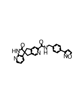 O=C(NCc1ccc(-c2ccon2)cc1)c1cc2c(cn1)CC1(C2)C(=O)Nc2ncccc21